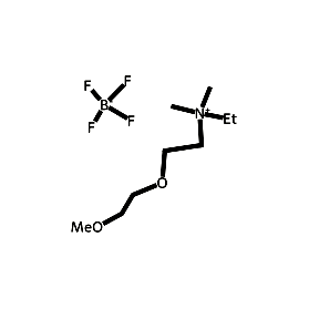 CC[N+](C)(C)CCOCCOC.F[B-](F)(F)F